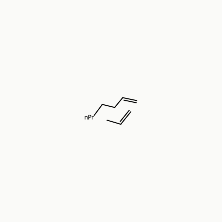 C=CC.C=CCCCCC